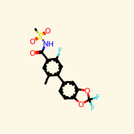 Cc1cc(C(=O)NS(C)(=O)=O)c(F)cc1-c1ccc2c(c1)OC(F)(F)O2